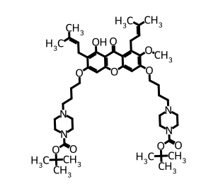 COc1c(OCCCCN2CCN(C(=O)OC(C)(C)C)CC2)cc2oc3cc(OCCCCN4CCN(C(=O)OC(C)(C)C)CC4)c(CC=C(C)C)c(O)c3c(=O)c2c1CC=C(C)C